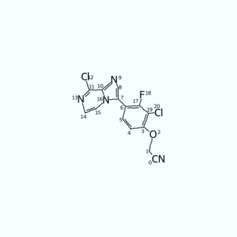 N#CCOc1ccc(-c2cnc3c(Cl)nccn23)c(F)c1Cl